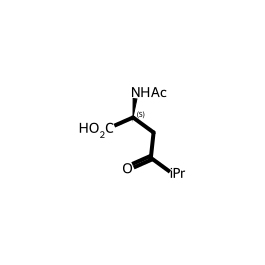 CC(=O)N[C@@H](CC(=O)C(C)C)C(=O)O